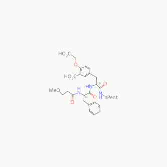 CCCCCNC(=O)[C@H](Cc1ccc(OCC(=O)O)c(C(=O)O)c1)NC(=O)[C@H](Cc1ccccc1)NC(=O)CCOC